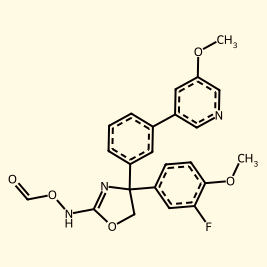 COc1cncc(-c2cccc(C3(c4ccc(OC)c(F)c4)COC(NOC=O)=N3)c2)c1